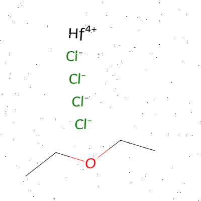 CCOCC.[Cl-].[Cl-].[Cl-].[Cl-].[Hf+4]